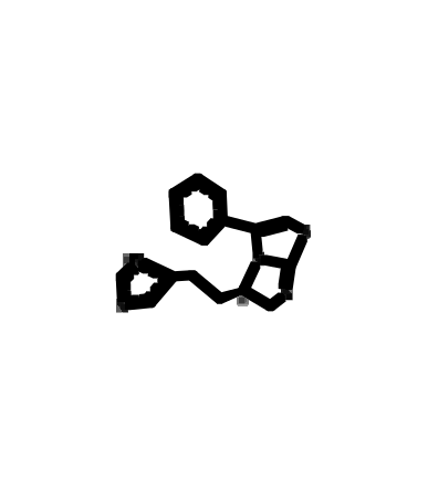 C1=C(c2ccccc2)N2C(=NC[C@H]2CCc2cnc[nH]2)S1